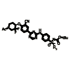 CC(=O)N1CC[C@H](Oc2ccc(-c3ncnc(Nc4ccc(S(C)(=O)=NC(=O)OC(C)(C)C)cc4)n3)cc2C#N)C(F)(F)C1